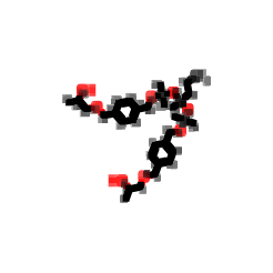 CC(O)COCc1ccc(CO[Si](C)(C)O[Si](C)(CCC(F)(F)F)O[Si](C)(C)OCc2ccc(COCC(C)O)cc2)cc1